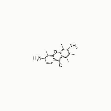 Cc1c(N)c(C)c2oc3c(C)c(N)ccc3c(=O)c2c1C